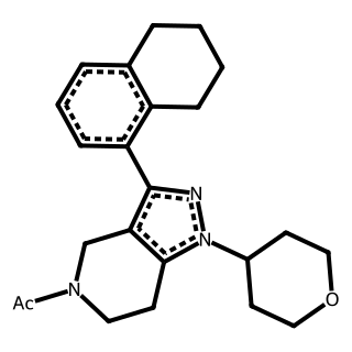 CC(=O)N1CCc2c(c(-c3cccc4c3CCCC4)nn2C2CCOCC2)C1